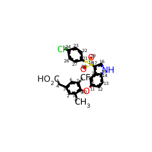 Cc1cc(CC(=O)O)cc(C(F)(F)F)c1Oc1ccc2[nH]cc(S(=O)(=O)c3ccc(Cl)cc3)c2c1